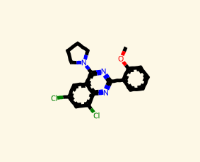 COc1ccccc1-c1nc(N2CCCC2)c2cc(Cl)cc(Cl)c2n1